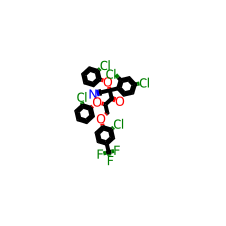 N#CC(Oc1ccccc1Cl)(C(=O)C(COc1ccc(C(F)(F)F)cc1Cl)Oc1ccccc1Cl)c1ccc(Cl)cc1Cl